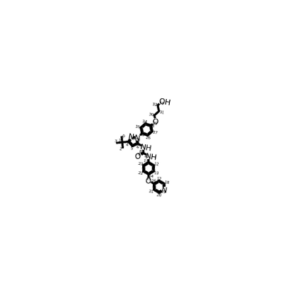 CC(C)(C)c1cc(NC(=O)Nc2ccc(Oc3ccncc3)cc2)n(-c2ccc(OCCCO)cc2)n1